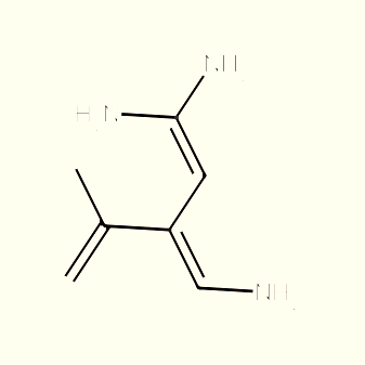 C=C(C)/C(C=C(N)N)=C/N